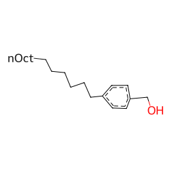 CCCCCCCCCCCCCCc1ccc(CO)cc1